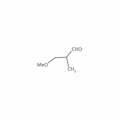 COCC(C)[C]=O